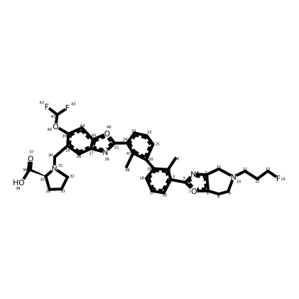 Cc1c(-c2nc3c(o2)CCN(CCCF)C3)cccc1-c1cccc(-c2nc3cc(CN4CCC[C@H]4C(=O)O)c(OC(F)F)cc3o2)c1C